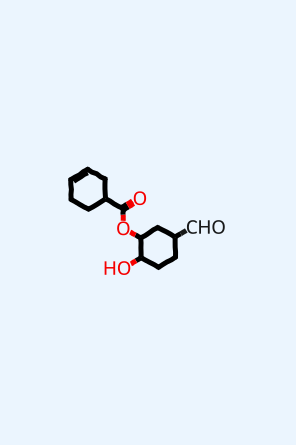 O=CC1CCC(O)C(OC(=O)C2CC=CCC2)C1